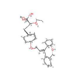 CCOC(Cc1ccc(OCC=C2c3ccccc3COc3ccccc32)cc1)C(=O)O